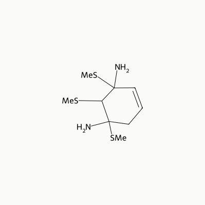 CSC1C(N)(SC)C=CCC1(N)SC